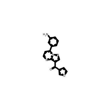 Nc1cccc(-c2ccnc3c(C(=O)c4ccoc4)cnn23)c1